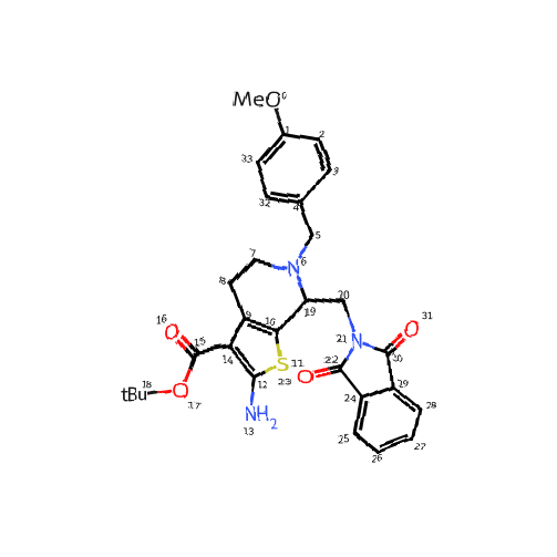 COc1ccc(CN2CCc3c(sc(N)c3C(=O)OC(C)(C)C)C2CN2C(=O)c3ccccc3C2=O)cc1